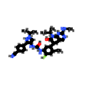 CNc1ncc2cc(-c3cc(NC(=O)Nc4cn(C(C)C)nc4-c4ccc(C#N)cc4)c(F)cc3C)c(=O)n(C(C)C)c2n1